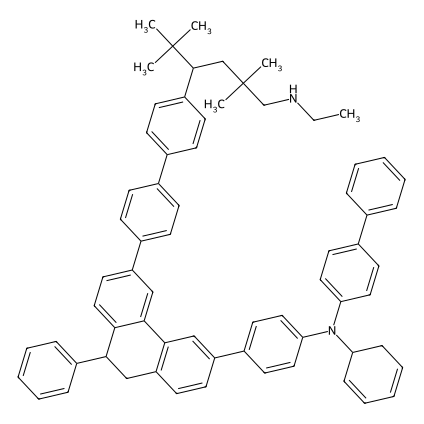 CCNCC(C)(C)CC(c1ccc(-c2ccc(-c3ccc4c(c3)-c3cc(-c5ccc(N(c6ccc(-c7ccccc7)cc6)C6C=CC=CC6)cc5)ccc3CC4c3ccccc3)cc2)cc1)C(C)(C)C